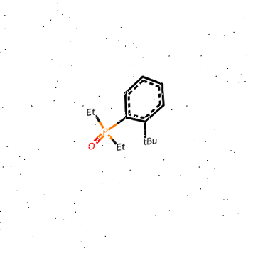 CCP(=O)(CC)c1ccccc1C(C)(C)C